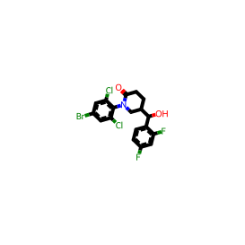 O=C1CCC(C(O)c2ccc(F)cc2F)CN1c1c(Cl)cc(Br)cc1Cl